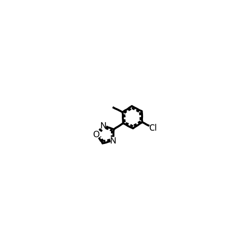 Cc1ccc(Cl)cc1-c1ncon1